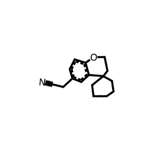 N#CCc1ccc2c(c1)C1(CCCCC1)CCO2